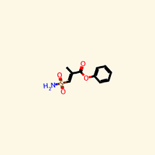 CC(=CS(N)(=O)=O)C(=O)Oc1ccccc1